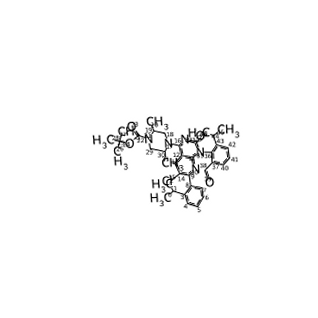 CC(C)c1ccccc1-c1nc2c(cc1Cl)c(N1CC(C)N(C(=O)OC(C)(C)C)CC1C)nc(=O)n2-c1c(C=O)cccc1C(C)C